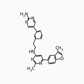 Cc1nc(NCCc2cccc(-c3cnc(N)nc3)c2)cc(-c2ccc3occ(C)c3c2)n1